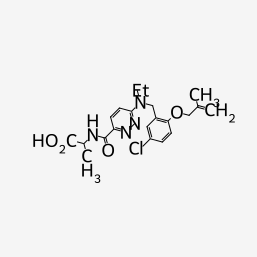 C=C(C)COc1ccc(Cl)cc1CN(CC)c1ccc(C(=O)NC(C)C(=O)O)nn1